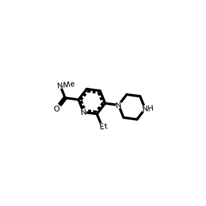 CCc1nc(C(=O)NC)ccc1N1CCNCC1